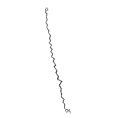 CCCCCCCCCCCCCCCCCCCCCCCCCCCCCCCCCCCCCC[O]